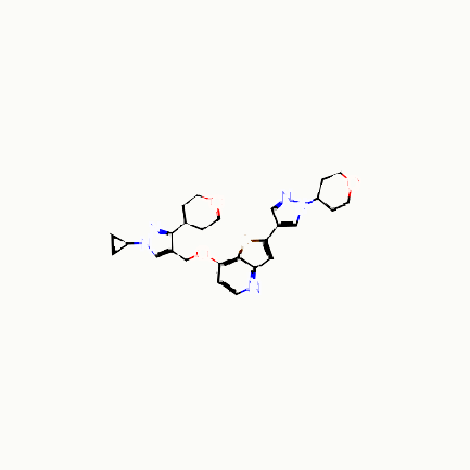 c1cc(OCc2cn(C3CC3)nc2C2CCOCC2)c2sc(-c3cnn(C4CCOCC4)c3)cc2n1